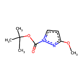 COc1ccn(C(=O)OC(C)(C)C)n1